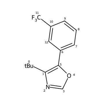 CC(C)(C)c1ncoc1-c1cccc(C(F)(F)F)c1